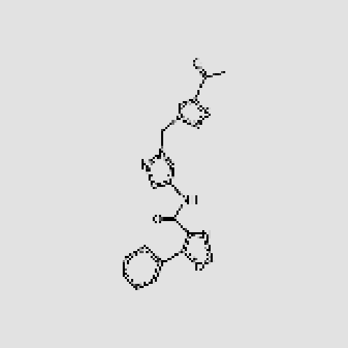 CC(=O)c1cc(Cn2cc(NC(=O)c3ncoc3-c3ccccc3)cn2)cs1